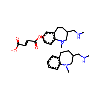 CNCC1CCc2ccccc2N(C)C1.CNCC1CCc2ccccc2N(C)C1.O=C(O)C=CC(=O)O